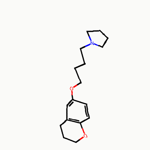 c1cc2c(cc1OCCCCN1CCCC1)CCCO2